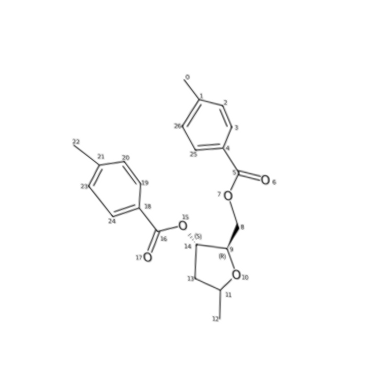 Cc1ccc(C(=O)OC[C@H]2OC(C)C[C@@H]2OC(=O)c2ccc(C)cc2)cc1